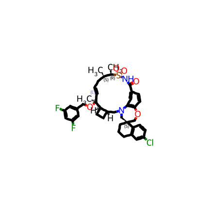 C[C@@H]1[C@@H](C)C/C=C/[C@](C)(OCc2cc(F)cc(F)c2)[C@@H]2CC[C@H]2CN2C[C@@]3(CCCc4cc(Cl)ccc43)COc3ccc(cc32)C(=O)NS1(=O)=O